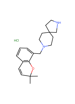 CC1(C)C=Cc2cccc(CN3CCC4(CCNC4)CC3)c2O1.Cl